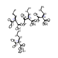 CC/C=C(\C(=O)[O-])C(=O)O.CC/C=C(\C(=O)[O-])C(=O)O.CC/C=C(\C(=O)[O-])C(=O)O.CC/C=C(\C(=O)[O-])C(=O)O.[Zr+4]